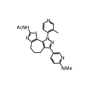 CNc1ccc(-c2nn(-c3ccncc3C)c3c2CCCc2nc(NC(C)=O)sc2-3)cn1